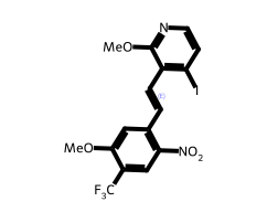 COc1cc(/C=C/c2c(I)ccnc2OC)c([N+](=O)[O-])cc1C(F)(F)F